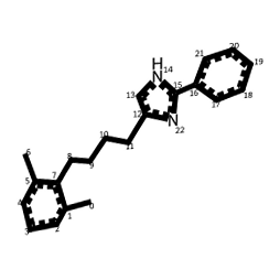 Cc1cccc(C)c1CCCCc1c[nH]c(-c2ccccc2)n1